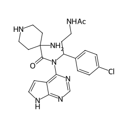 CC(=O)NCCC(c1ccc(Cl)cc1)N(C(=O)C1(N)CCNCC1)c1ncnc2[nH]ccc12